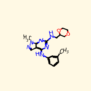 Cc1cccc(Nc2nc(NCC3COCCO3)nc3c2cnn3C)c1